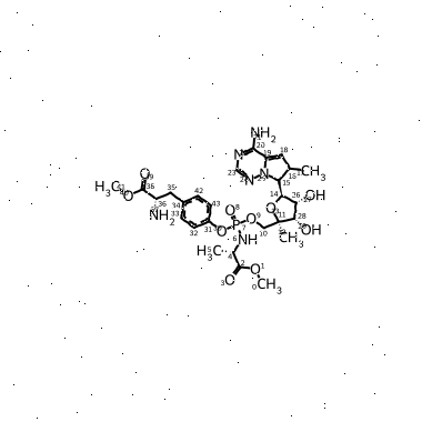 COC(=O)[C@H](C)NP(=O)(OC[C@@]1(C)O[C@@H](C2C(C)C=C3C(N)=NC=NN32)[C@H](O)[C@@H]1O)Oc1ccc(C[C@H](N)C(=O)OC)cc1